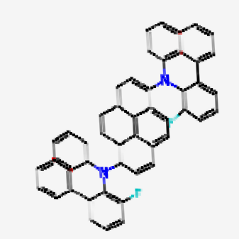 Fc1cccc(-c2ccccc2)c1N(c1ccccc1)c1ccc2ccc3c(N(c4ccccc4)c4c(F)cccc4-c4ccccc4)ccc4ccc1c2c43